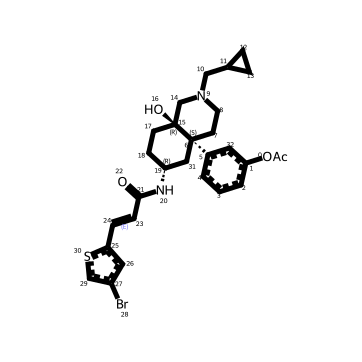 CC(=O)Oc1cccc([C@@]23CCN(CC4CC4)C[C@@]2(O)CC[C@@H](NC(=O)/C=C/c2cc(Br)cs2)C3)c1